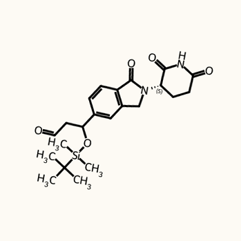 CC(C)(C)[Si](C)(C)OC(CC=O)c1ccc2c(c1)CN([C@H]1CCC(=O)NC1=O)C2=O